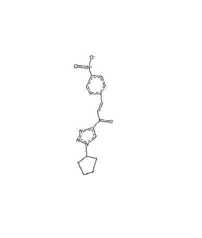 O=C(C=Cc1ccc([N+](=O)[O-])cc1)c1cn(C2CCCC2)nn1